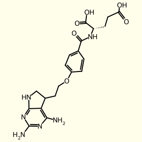 Nc1nc(N)c2c(n1)NCC2CCOc1ccc(C(=O)N[C@@H](CCC(=O)O)C(=O)O)cc1